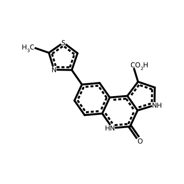 Cc1nc(-c2ccc3[nH]c(=O)c4[nH]cc(C(=O)O)c4c3c2)cs1